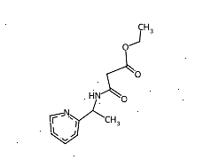 CCOC(=O)CC(=O)NC(C)c1ccccn1